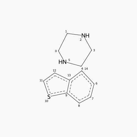 C1CNCCN1.c1ccc2sccc2c1